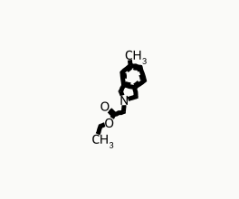 CCOC(=O)CN1Cc2ccc(C)cc2C1